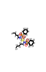 CCCCCN(SSN(CCCCC)S(=O)(=O)c1ccccc1)S(=O)(=O)c1ccccc1